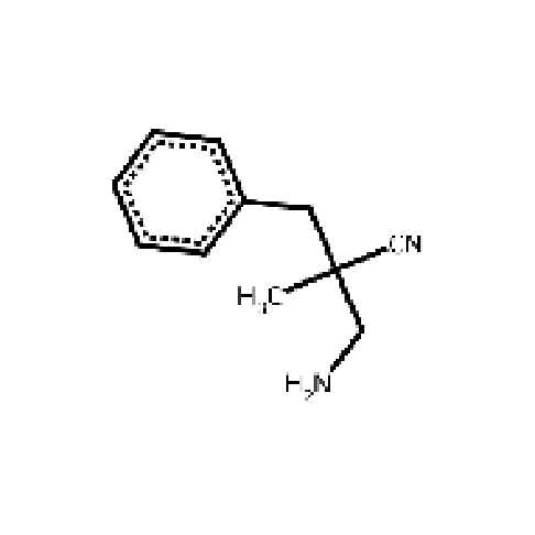 CC(C#N)(CN)Cc1ccccc1